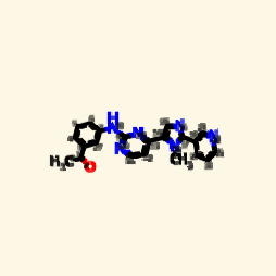 CC(=O)c1cccc(Nc2nccc(-c3cnc(-c4cccnc4)n3C)n2)c1